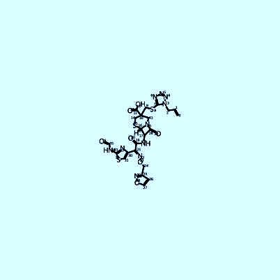 C=CCn1nnnc1SCC1(C(=O)O)CS[C@@H]2C(NC(=O)C(=NOCc3ccon3)c3csc(NC=O)n3)C(=O)N2C1